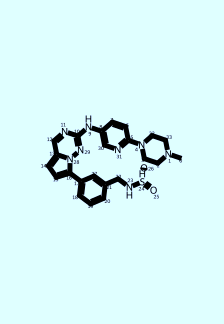 CN1CCN(c2ccc(Nc3ncc4ccc(-c5cccc(CN[SH](=O)=O)c5)n4n3)cn2)CC1